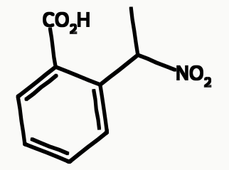 CC(c1ccccc1C(=O)O)[N+](=O)[O-]